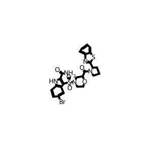 NC(=O)c1[nH]c2ccc(Br)cc2c1S(=O)(=O)N1CCOC(C(=O)N2CCCC2c2nc3ccccc3s2)C1